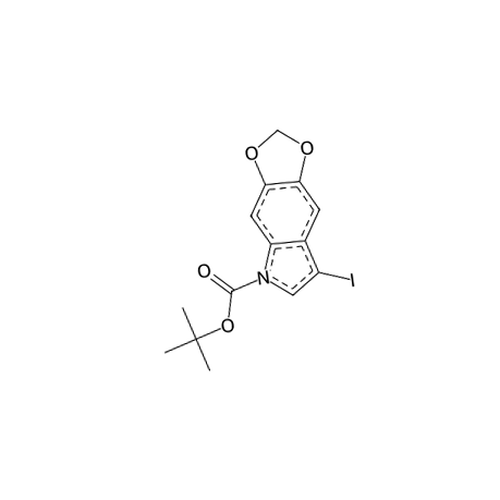 CC(C)(C)OC(=O)n1cc(I)c2cc3c(cc21)OCO3